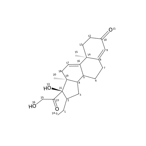 CCC1CC2C3CCC4=CC(=O)CC[C@]4(C)C3=CC[C@]2(C)[C@@]1(O)C(=O)CO